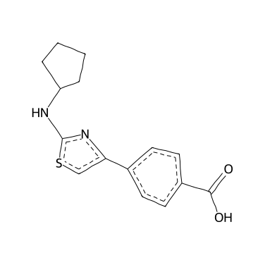 O=C(O)c1ccc(-c2csc(NC3CCCC3)n2)cc1